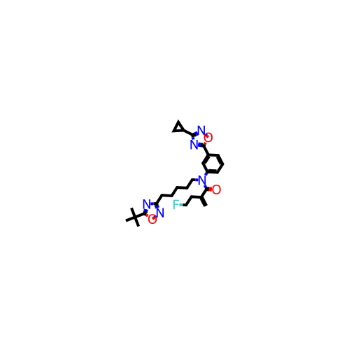 C=C(CCF)C(=O)N(CCCCCc1noc(C(C)(C)C)n1)c1cccc(-c2nc(C3CC3)no2)c1